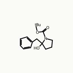 CC(C)(C)OC(=O)N1CCCC1(O)Cc1ccccc1